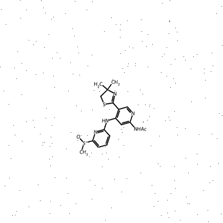 CC(=O)Nc1cc(Nc2cccc([S+](C)[O-])n2)c(C2=NC(C)(C)CS2)cn1